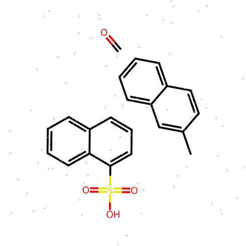 C=O.Cc1ccc2ccccc2c1.O=S(=O)(O)c1cccc2ccccc12